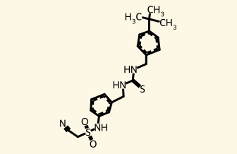 CC(C)(C)c1ccc(CNC(=S)NCc2cccc(NS(=O)(=O)CC#N)c2)cc1